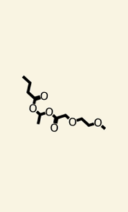 CCCC(=O)OC(C)OC(=O)COCCOC